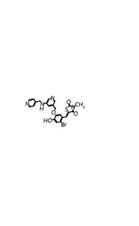 CN1C(=O)S/C(=C\c2cc(OCc3cncc(NCc4ccncc4)c3)c(O)cc2Br)C1=O